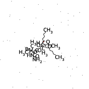 CCC(Br)(CC)C(=O)NC(N)=O.CCCCCCCC(C)(C(=O)OC)C(C)(CCCCCCC)C(=O)OC